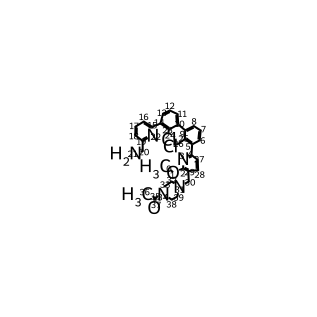 COc1nc(-c2cccc(-c3cccc(-c4cccc(CN)n4)c3Cl)c2Cl)ccc1CN1CCN(C(C)=O)CC1